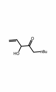 C=CC(O)C(=O)CCCCC